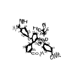 COc1ccc(S(=O)(=O)Nc2ccc(Oc3ccc(C(=N)N)cc3)c(-c3cccc(C(=O)O)c3)c2)cc1.O=C(O)C(F)(F)F